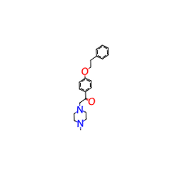 CN1CCN(CC(=O)c2ccc(OCCc3ccccc3)cc2)CC1